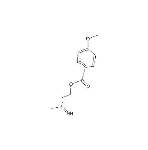 COc1ccc(C(=O)OCCC(C)=N)cc1